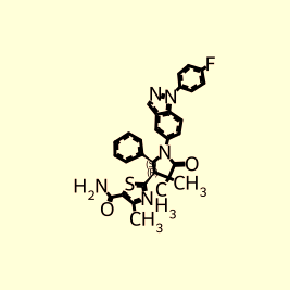 Cc1nc([C@H]2[C@@H](c3ccccc3)N(c3ccc4c(cnn4-c4ccc(F)cc4)c3)C(=O)C2(C)C)sc1C(N)=O